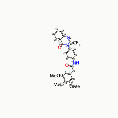 COc1cc(CC(=O)Nc2ccc(-n3c(C(F)(F)F)nc4ccccc4c3=O)cc2)cc(OC)c1OC